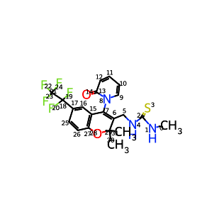 CNC(=S)NCC1=C(n2ccccc2=O)c2cc(C(F)(F)C(F)(F)F)ccc2OC1(C)C